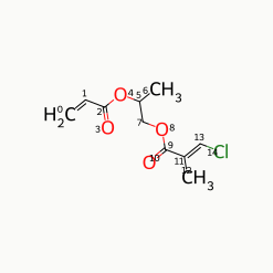 C=CC(=O)OC(C)COC(=O)C(C)=CCl